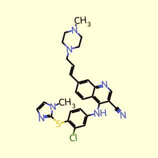 CN1CCN(CC=Cc2ccc3c(Nc4ccc(Sc5nccn5C)c(Cl)c4)c(C#N)cnc3c2)CC1